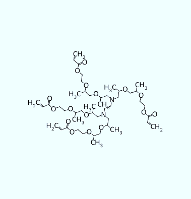 C=CC(=O)OCCOC(C)COC(C)CN(CCN(CC(C)OCC(C)OCCOC(=O)C=C)CC(C)OCC(C)OCCOC(=O)C=C)CC(C)OCC(C)OCCOC(=O)C=C